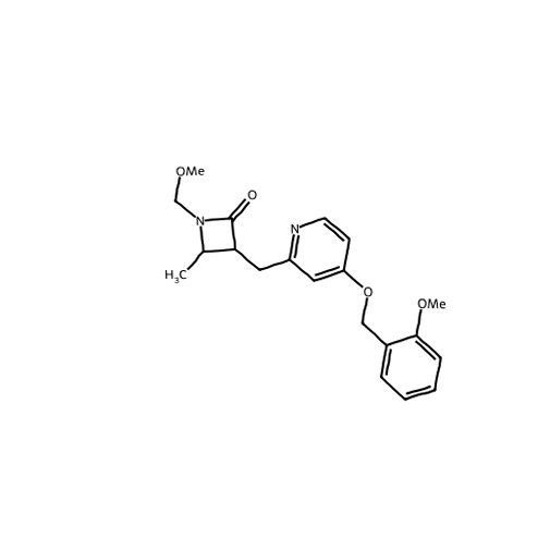 COCN1C(=O)C(Cc2cc(OCc3ccccc3OC)ccn2)C1C